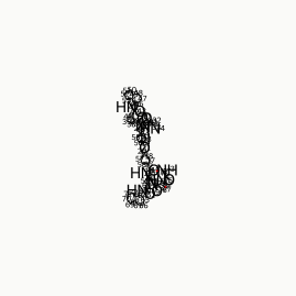 CN[C@@H](C)C(=O)NC(C(=O)N1CC(NC(=O)c2ccc(COc3ccc(CN(NC(=O)[C@H](C)NC)C(=O)[C@@H]4CCCC4C(=O)NC4CCCc5ccccc54)cc3)cc2)CC1C(=O)NC1CCCc2ccccc21)C(C)(C)C